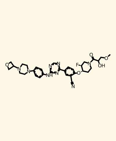 COCC(O)C(=O)N1CC[C@H](Oc2ccc(-c3ncnc(Nc4ccc(N5CCN(C6COC6)CC5)cc4)n3)cc2C#N)[C@@H](F)C1